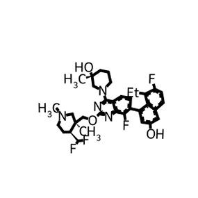 CCc1c(F)ccc2cc(O)cc(-c3ccc4c(N5CCC[C@@](C)(O)C5)nc(OC[C@]5(C)CN(C)CC[C@@H]5C(F)F)nc4c3F)c12